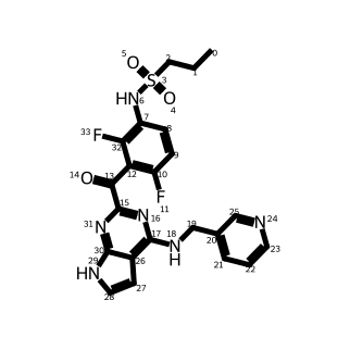 CCCS(=O)(=O)Nc1ccc(F)c(C(=O)c2nc(NCc3cccnc3)c3cc[nH]c3n2)c1F